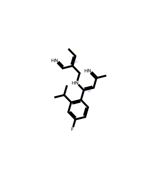 C/C=C(\C=N)CN/C(=C\C(C)=N)c1ccc(F)cc1C(C)C